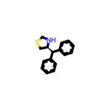 c1ccc(C(c2ccccc2)[C@H]2CSCN2)cc1